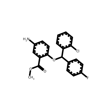 COC(=O)c1cc(N)ccc1OC(c1ccc(F)cc1)c1ccccc1Cl